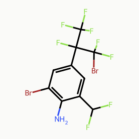 Nc1c(Br)cc(C(F)(C(F)(F)F)C(F)(F)Br)cc1C(F)F